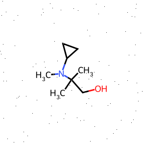 CN(C1CC1)C(C)(C)CO